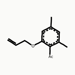 C=CCOc1cc(C)cc(C)c1C(C)=O